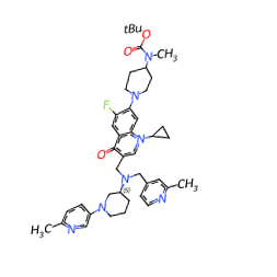 Cc1ccc(N2CCC[C@H](N(Cc3ccnc(C)c3)Cc3cn(C4CC4)c4cc(N5CCC(N(C)C(=O)OC(C)(C)C)CC5)c(F)cc4c3=O)C2)cn1